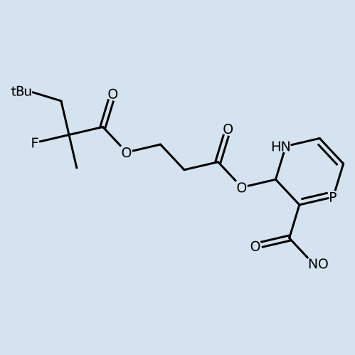 CC(C)(C)CC(C)(F)C(=O)OCCC(=O)OC1NC=CP=C1C(=O)N=O